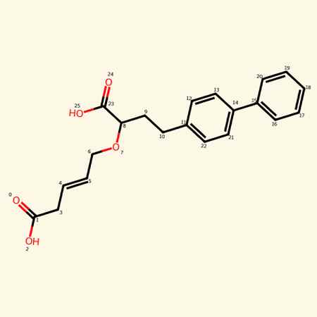 O=C(O)CC=CCOC(CCc1ccc(-c2ccccc2)cc1)C(=O)O